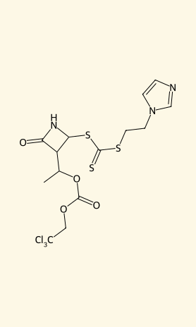 CC(OC(=O)OCC(Cl)(Cl)Cl)C1C(=O)NC1SC(=S)SCCn1ccnc1